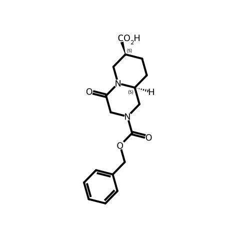 O=C(O)[C@H]1CC[C@H]2CN(C(=O)OCc3ccccc3)CC(=O)N2C1